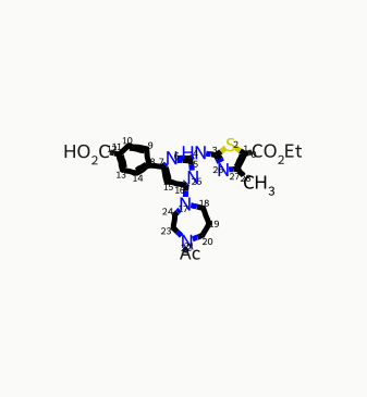 CCOC(=O)c1sc(Nc2nc(-c3ccc(C(=O)O)cc3)cc(N3CCCN(C(C)=O)CC3)n2)nc1C